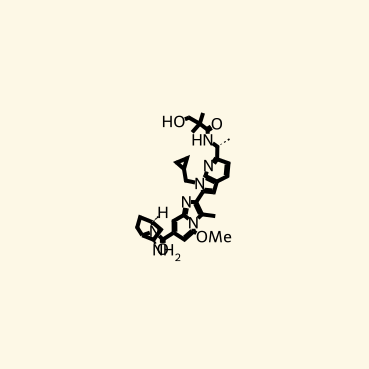 COc1cc(C(=O)N2C3CC[C@H]2C[C@H]3N)cc2nc(-c3cc4ccc([C@@H](C)NC(=O)C(C)(C)CO)nc4n3CC3CC3)c(C)n12